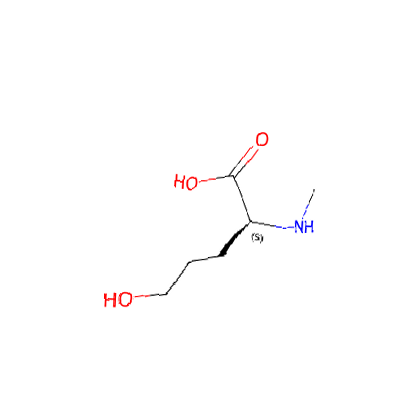 CN[C@@H](CCCO)C(=O)O